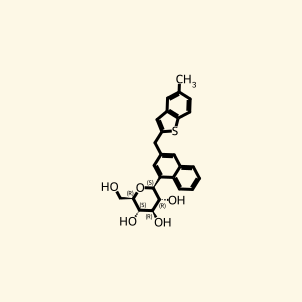 Cc1ccc2sc(Cc3cc([C@@H]4O[C@H](CO)[C@@H](O)[C@H](O)[C@H]4O)c4ccccc4c3)cc2c1